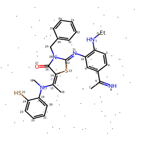 CCNc1ccc(C(C)=N)cc1N=C1S/C(=C(\C)N(C)c2ccccc2S)C(=O)N1Cc1ccccc1